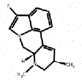 C[C@@H]1C=C2c3cccc4c(F)cn(c34)C[C@H]2N(C)C1